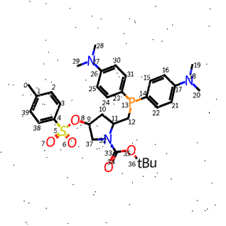 Cc1ccc(S(=O)(=O)OC2CC(CP(c3ccc(N(C)C)cc3)c3ccc(N(C)C)cc3)N(C(=O)OC(C)(C)C)C2)cc1